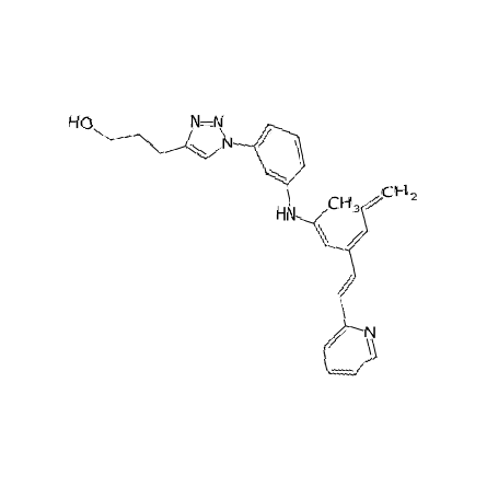 C=C/C=C(/C=C/c1ccccn1)\C=C(/C)Nc1cccc(-n2cc(CCCO)nn2)c1